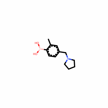 Cc1cc(CN2CCCC2)ccc1B(O)O